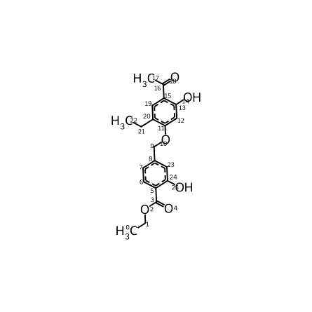 CCOC(=O)c1ccc(COc2cc(O)c(C(C)=O)cc2CC)cc1O